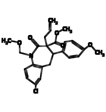 C=CCC1(C(=O)OC)C(=O)N(COC)c2ccc(Cl)cc2CC1c1ccc(OC)cc1